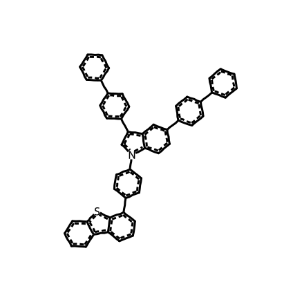 c1ccc(-c2ccc(-c3ccc4c(c3)c(-c3ccc(-c5ccccc5)cc3)cn4-c3ccc(-c4cccc5c4sc4ccccc45)cc3)cc2)cc1